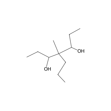 CCCC(C)(C(O)CC)C(O)CC